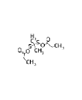 CCC(=O)OSC(C)(C)SOC(=O)CC